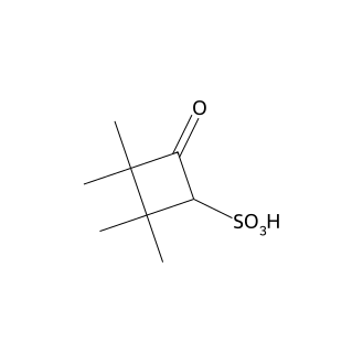 CC1(C)C(=O)C(S(=O)(=O)O)C1(C)C